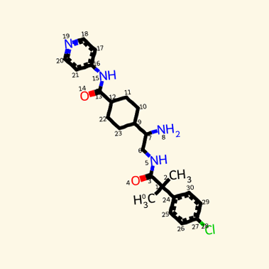 CC(C)(C(=O)NCC(N)C1CCC(C(=O)Nc2ccncc2)CC1)c1ccc(Cl)cc1